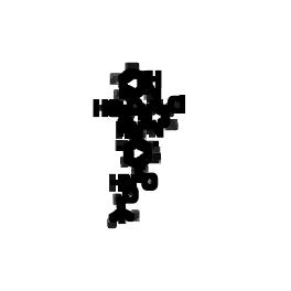 CC(C)CONC(=O)c1ccc(Nc2ncc(Cl)c(Nc3ccccc3O[PH](=O)O)n2)cc1